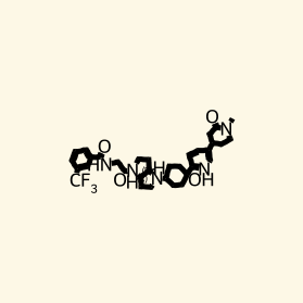 CN1CCC(c2ccc(C3(O)CCC(N4CC[C@@H]5[C@H]4CCN5C(=O)CNC(=O)c4cccc(C(F)(F)F)c4)CC3)nc2)CC1=O